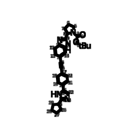 CC(C)(C)OC(=O)N1CCCC1c1nc2ccc(C#Cc3ccc(-c4cnc(C5CCCC5)[nH]4)cc3)cc2[nH]1